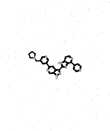 c1cc(-c2nccc3[nH]c(-c4n[nH]c5cnc(-c6cncc(CN7CCCC7)c6)cc45)nc23)ccn1